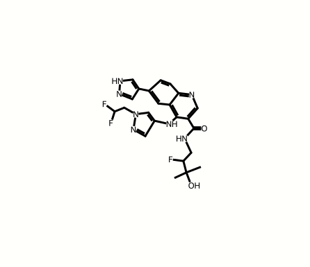 CC(C)(O)C(F)CNC(=O)c1cnc2ccc(-c3cn[nH]c3)cc2c1Nc1cnn(CC(F)F)c1